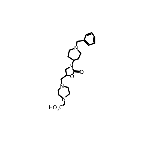 O=C(O)CN1CCN(CC2CN(C3CCN(Cc4ccccc4)CC3)C(=O)O2)CC1